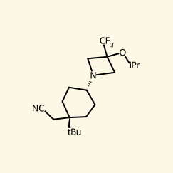 CC(C)OC1(C(F)(F)F)CN([C@H]2CC[C@](CC#N)(C(C)(C)C)CC2)C1